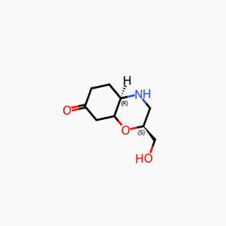 O=C1CC[C@H]2NC[C@@H](CO)OC2C1